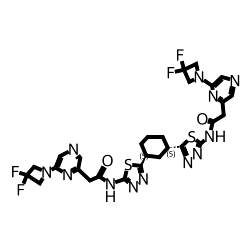 O=C(Cc1cncc(N2CC(F)(F)C2)n1)Nc1nnc([C@H]2CCC[C@H](c3nnc(NC(=O)Cc4cncc(N5CC(F)(F)C5)n4)s3)C2)s1